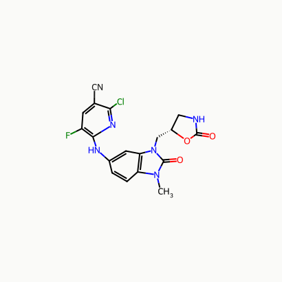 Cn1c(=O)n(C[C@@H]2CNC(=O)O2)c2cc(Nc3nc(Cl)c(C#N)cc3F)ccc21